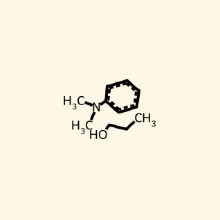 CCCO.CN(C)c1ccccc1